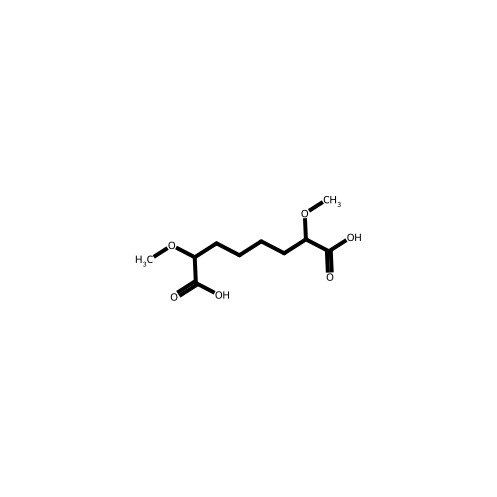 COC(CCCCC(OC)C(=O)O)C(=O)O